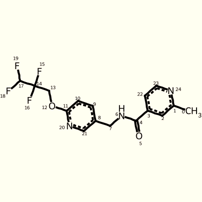 Cc1cc(C(=O)NCc2ccc(OCC(F)(F)C(F)F)nc2)ccn1